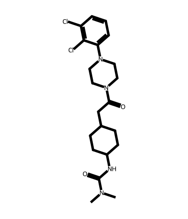 CN(C)C(=O)NC1CCC(CC(=O)N2CCN(c3cccc(Cl)c3Cl)CC2)CC1